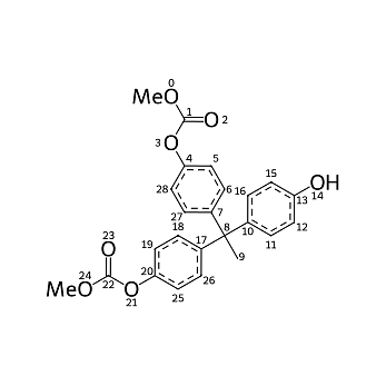 COC(=O)Oc1ccc(C(C)(c2ccc(O)cc2)c2ccc(OC(=O)OC)cc2)cc1